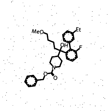 CCc1cccc(-c2c(F)cccc2C(O)(CCCCOC)C2CCN(C(=O)OCc3ccccc3)CC2)c1